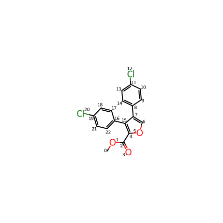 COC(=O)c1occ(-c2ccc(Cl)cc2)c1-c1ccc(Cl)cc1